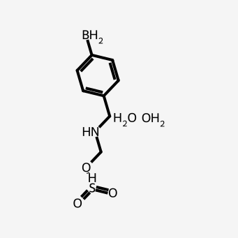 Bc1ccc(CNCO[SH](=O)=O)cc1.O.O